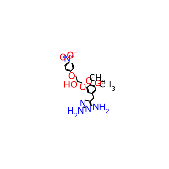 COc1cc(Cc2cnc(N)nc2N)cc(OCC(O)COc2ccc([N+](=O)[O-])cc2)c1OC